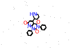 Cn1c(=O)cc(C2CCCNC2)c2c(=O)n(-c3ccccc3)c(=O)n(-c3ccccc3)c21